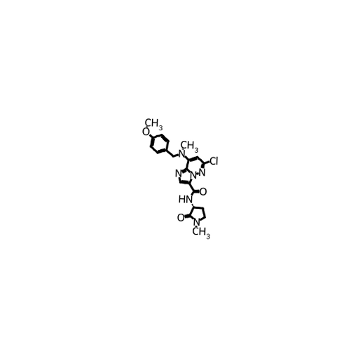 COc1ccc(CN(C)c2cc(Cl)nn3c(C(=O)N[C@@H]4CCN(C)C4=O)cnc23)cc1